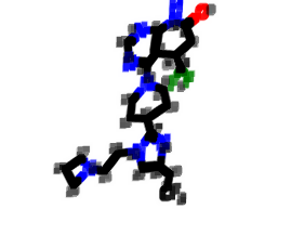 O=C1C[C@@H](C(F)F)c2c(ncnc2N2CCC(c3nc(CC(F)(F)F)cn3CCN3CCC3)CC2)N1